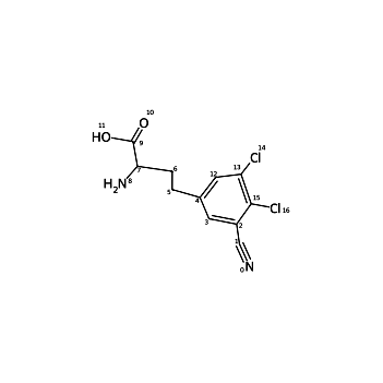 N#Cc1cc(CCC(N)C(=O)O)cc(Cl)c1Cl